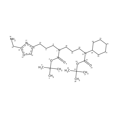 CC(C)(C)OC(=O)N(CCCc1coc(CN)n1)CCCN(C(=O)OC(C)(C)C)C1CCCCC1